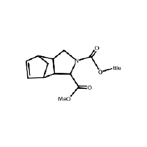 COC(=O)C1C2C3C=CC(C3)C2CN1C(=O)OC(C)(C)C